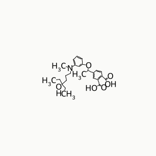 CCC(O)(CC)CCCN(C)c1cccc(OC(C)c2ccc(C(=O)O)c(C(=O)O)c2)c1